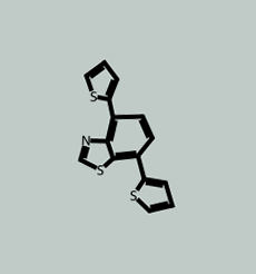 c1csc(-c2ccc(-c3cccs3)c3scnc23)c1